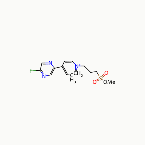 C=[N+](/C=C\C(=C/C)c1cnc(F)cn1)CCCS(=O)(=O)OC